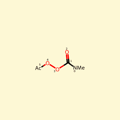 CNC(=O)OOC(C)=O